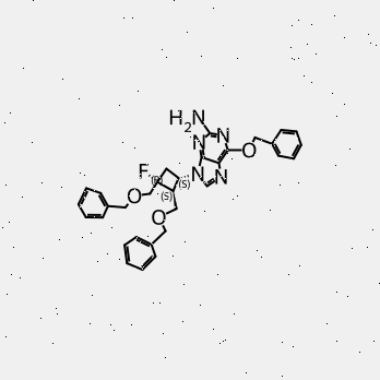 Nc1nc(OCc2ccccc2)c2ncn([C@H]3C[C@](F)(COCc4ccccc4)[C@@H]3COCc3ccccc3)c2n1